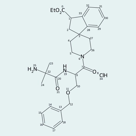 CCOC(=O)C1CC2(CCN(C(=O)C(COCc3ccccc3)NC(=O)C(C)(C)N)CC2)c2ccccc21.Cl